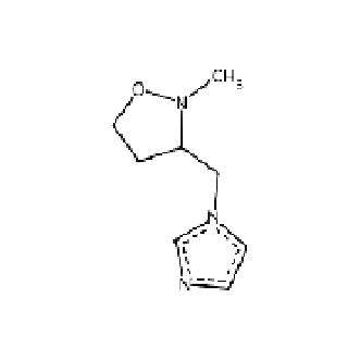 CN1OCCC1Cn1ccnc1